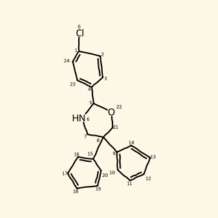 Clc1ccc(C2NCC(c3ccccc3)(c3ccccc3)CO2)cc1